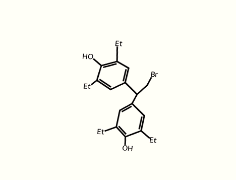 CCc1cc(C(CBr)c2cc(CC)c(O)c(CC)c2)cc(CC)c1O